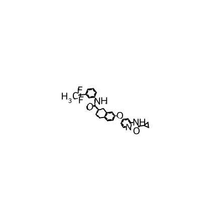 CC(F)(F)c1cccc(NC(=O)C2CCc3ccc(Oc4ccnc(NC(=O)C5CC5)c4)cc3C2)c1